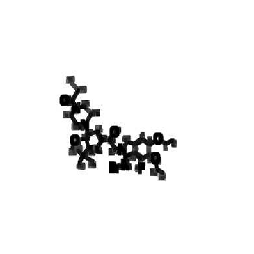 CCOc1cc2c(c(F)c1OCC)/C(=N/Br)N(CC(=O)c1cc(N3CCN(C(=O)CC)CC3)c(OC)c(C(C)(C)C)c1)C2